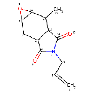 C=CCN1C(=O)C2CC3OC3C(C)C2C1=O